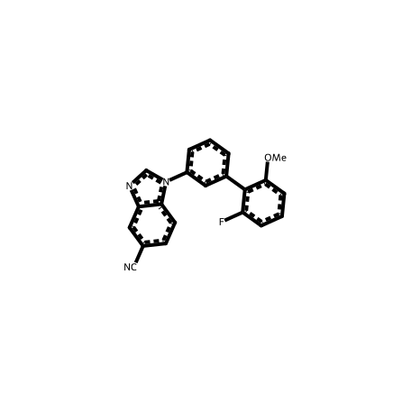 COc1cccc(F)c1-c1cccc(-n2cnc3cc(C#N)ccc32)c1